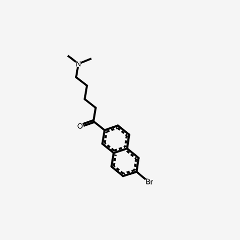 CN(C)CCCCC(=O)c1ccc2cc(Br)ccc2c1